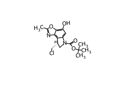 Cc1nc2c3c(cc(O)c2o1)N(C(=O)OC(C)(C)C)C[C@@H]3CCl